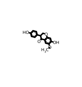 COc1cc2c(cc1O)OCC(c1ccc(O)cc1)C2=O